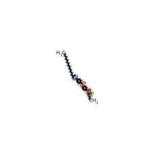 CCCCCCCCCCCCCCCc1cnc(-c2ccc(C(=O)Oc3ccc(C(=O)O[C@@H](CCCC)C(F)(F)F)cc3)cc2)nc1